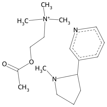 CC(=O)OCC[N+](C)(C)C.CN1CCCC1c1cccnc1